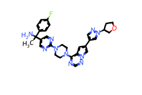 CC(N)(c1ccc(F)cc1)c1cnc(N2CCN(c3ncnn4cc(-c5cnn(C6CCOC6)c5)cc34)CC2)nc1